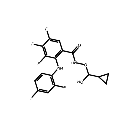 O=C(NOC(O)C1CC1)c1cc(F)c(F)c(F)c1Nc1ccc(I)cc1F